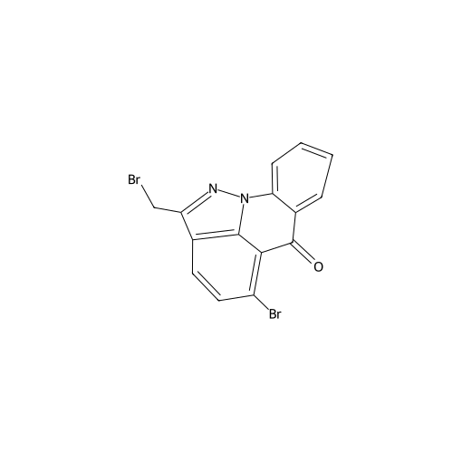 O=c1c2ccccc2n2nc(CBr)c3ccc(Br)c1c32